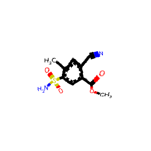 COC(=O)c1cc(S(N)(=O)=O)c(C)cc1C#N